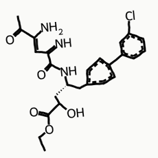 CCOC(=O)C(O)C[C@@H](Cc1ccc(-c2cccc(Cl)c2)cc1)NC(=O)C(=N)/C=C(\N)C(C)=O